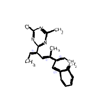 C=c1cccc/c1=C/C(=C\C)C(/C)=C/C(=C\C)c1nc(C)nc(Cl)n1